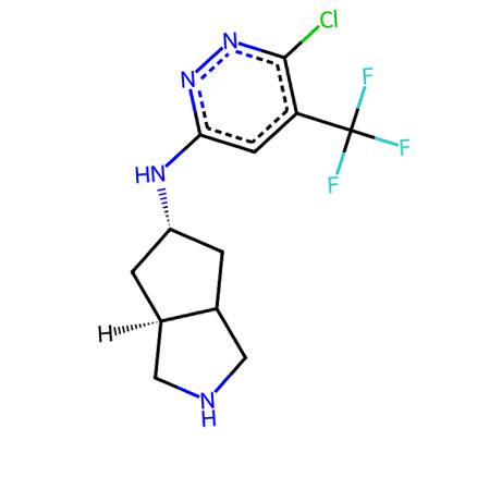 FC(F)(F)c1cc(N[C@@H]2CC3CNC[C@H]3C2)nnc1Cl